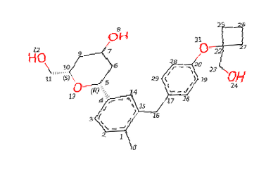 Cc1ccc([C@H]2CC(O)C[C@@H](CO)O2)cc1Cc1ccc(OC2(CO)CCC2)cc1